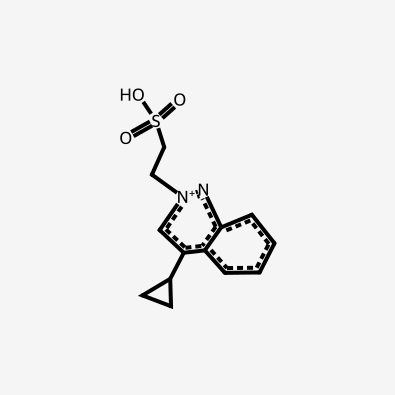 O=S(=O)(O)CC[n+]1cc(C2CC2)c2ccccc2n1